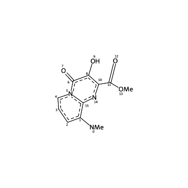 CNc1cccn2c(=O)c(O)c(C(=O)OC)nc12